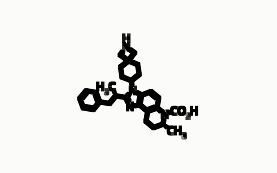 C[C@H](Cc1ccccc1)c1nc2c3c(ccc2n1C1CCC2(CC1)CNC2)N(C(=O)O)[C@@H](C)CC3